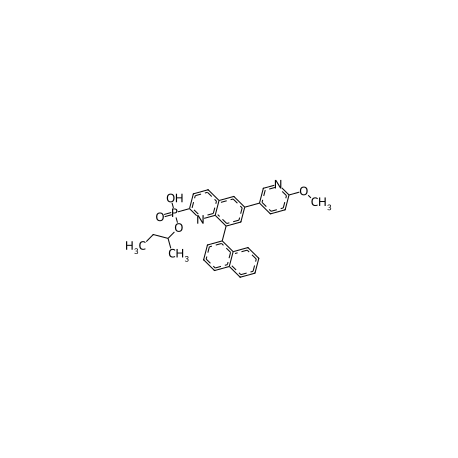 CCC(C)OP(=O)(O)c1ccc2cc(-c3ccc(OC)nc3)cc(-c3cccc4ccccc34)c2n1